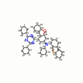 c1ccc(-c2nc(-c3ccccc3)nc(-c3cc(N(c4ccccc4)c4cccc5c4sc4ccccc45)cc4oc5ccccc5c34)n2)cc1